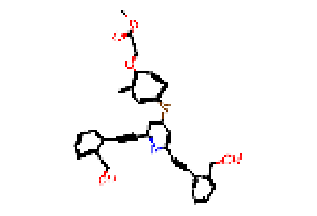 COC(=O)COc1ccc(Sc2cc(C#Cc3ccccc3CO)nc(C#Cc3ccccc3CO)c2)cc1C